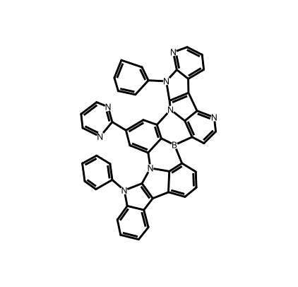 c1ccc(-n2c3ccccc3c3c4cccc5c4n(c32)-c2cc(-c3ncccn3)cc3c2B5c2ccnc4c5c6cccnc6n(-c6ccccc6)c5n-3c24)cc1